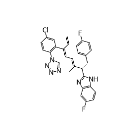 C=C/C(=C\C=C(/C)[C@H](Cc1ccc(F)cc1)c1nc2cc(F)ccc2[nH]1)c1cc(Cl)ccc1-n1cnnn1